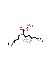 C=CCC[C@@H](C(=O)OC(C)(C)C)[C@@H](CCCC(F)(F)F)C(=O)O